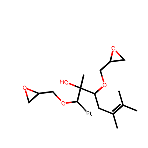 CCC(OCC1CO1)C(C)(O)C(CC(C)=C(C)C)OCC1CO1